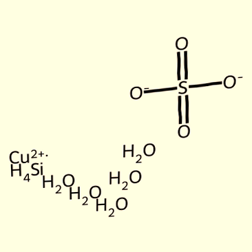 O.O.O.O.O.O=S(=O)([O-])[O-].[Cu+2].[SiH4]